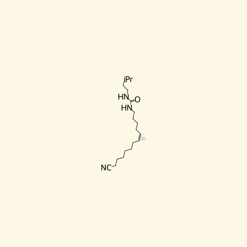 CC(C)CCNC(=O)NCCCC/C=C\CCCCCCC#N